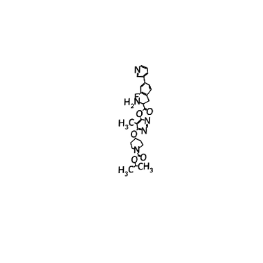 Cc1c(OC(=O)[C@@H](N)Cc2ccc(-c3cccnc3)cc2F)ncnc1OC1CCN(C(=O)OC(C)C)CC1